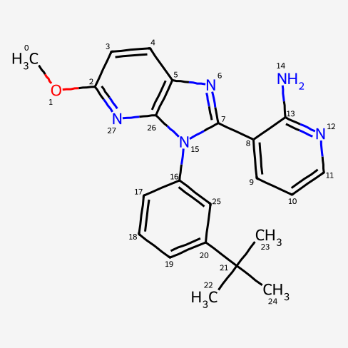 COc1ccc2nc(-c3cccnc3N)n(-c3cccc(C(C)(C)C)c3)c2n1